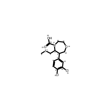 CSCC1C(c2ccc(Cl)c(Cl)c2)COCCN1C(=O)O